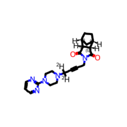 [2H]C([2H])(C#CCN1C(=O)[C@@H]2[C@@H]3CC[C@@H](C3)[C@@H]2C1=O)N1CCN(c2ncccn2)CC1